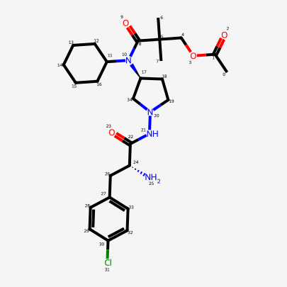 CC(=O)OCC(C)(C)C(=O)N(C1CCCCC1)[C@H]1CCN(NC(=O)[C@H](N)Cc2ccc(Cl)cc2)C1